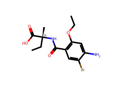 CCOc1cc(N)c(Br)cc1C(=O)N[C@](C)(CC)C(=O)O